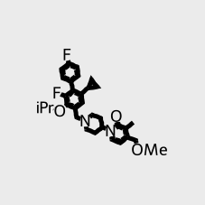 COCc1ccn(C2CCN(Cc3cc(C4CC4)c(-c4ccc(F)cc4)c(F)c3OC(C)C)CC2)c(=O)c1C